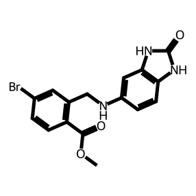 COC(=O)c1ccc(Br)cc1CNc1ccc2[nH]c(=O)[nH]c2c1